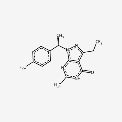 Cc1nc2c(c(CC(F)(F)F)nn2[C@H](C)c2ccc(C(F)(F)F)cc2)c(=O)[nH]1